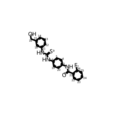 O=C(Nc1ccc(NC(=S)Nc2cccc(CO)c2)cc1)c1ccccc1F